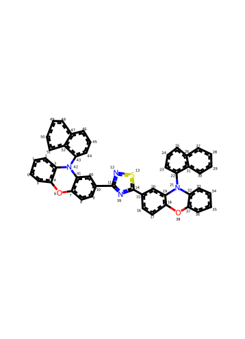 c1ccc2c(c1)Oc1ccc(-c3nsc(-c4ccc5c(c4)N(c4cccc6ccccc46)c4ccccc4O5)n3)cc1N2c1cccc2ccccc12